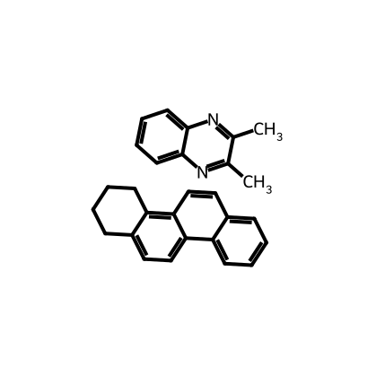 Cc1nc2ccccc2nc1C.c1ccc2c(c1)ccc1c3c(ccc12)CCCC3